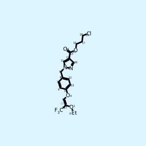 CCO/C(=C\Oc1ccc(Cn2cc(C(=O)OCCCCl)cn2)cc1)C(F)(F)F